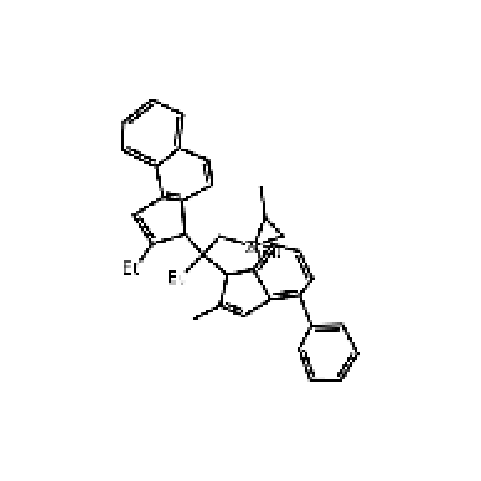 CCC[CH2][Zr]1([CH2]C(CC)(C2C(C)=Cc3c(-c4ccccc4)cccc32)C2C(CC)=Cc3c2ccc2ccccc32)[CH2][CH]1C